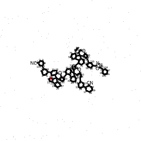 N#Cc1cccc(-c2cccc(-c3ccc4c(c3)C3(c5ccccc5-c5ccccc53)c3cccc(-c5cccc6c5-c5ccccc5C65c6cc(-c7cccc(-c8ccccc8C#N)c7)ccc6Oc6c(-c7cccc8c7-c7ccccc7C87c8ccccc8Oc8ccc(-c9cccc(-c%10nnc(-c%11ccccc%11)o%10)c9)cc87)cccc65)c3O4)c2)c1